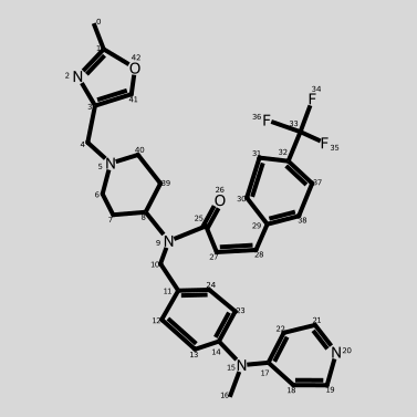 Cc1nc(CN2CCC(N(Cc3ccc(N(C)c4ccncc4)cc3)C(=O)C=Cc3ccc(C(F)(F)F)cc3)CC2)co1